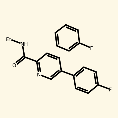 CCNC(=O)c1ccc(-c2ccc(F)cc2)cn1.Fc1ccccc1